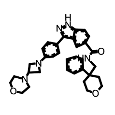 O=C(NCC1(c2ccccc2)CCOCC1)c1ccc2[nH]nc(-c3ccc(N4CC(N5CCOCC5)C4)cc3)c2c1